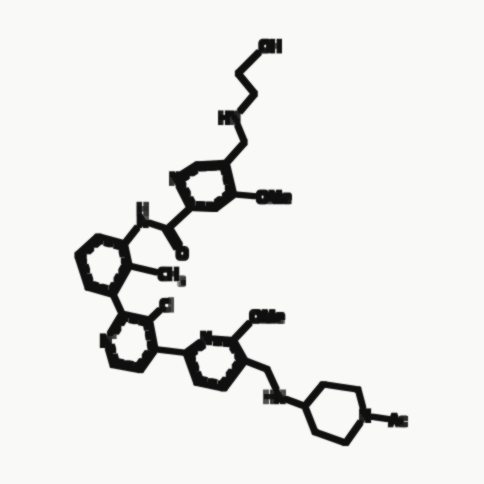 COc1cc(C(=O)Nc2cccc(-c3nccc(-c4ccc(CNC5CCN(C(C)=O)CC5)c(OC)n4)c3Cl)c2C)ncc1CNCCO